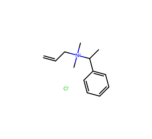 C=CC[N+](C)(C)C(C)c1ccccc1.[Cl-]